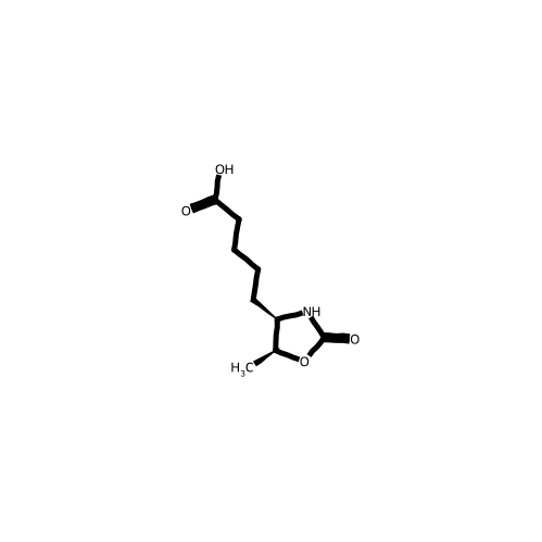 C[C@@H]1OC(=O)N[C@@H]1CCCCC(=O)O